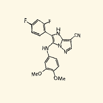 COc1ccc(Nc2c(-c3ccc(F)cc3F)[nH]c3c(C#N)cnn23)cc1OC